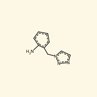 Nc1ccccc1Cn1ccnn1